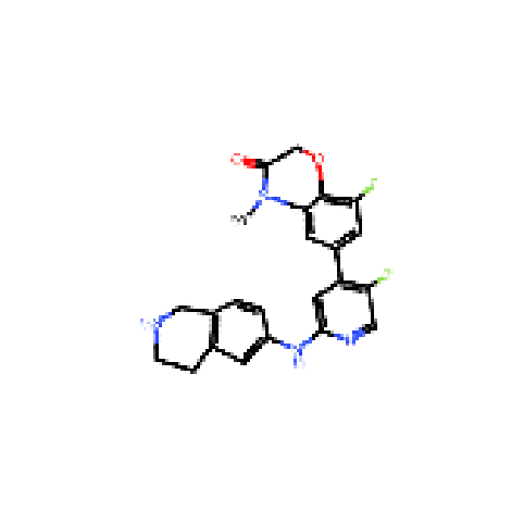 CC(C)N1C(=O)COc2c(F)cc(-c3cc(Nc4ccc5c(c4)CCNC5)ncc3F)cc21